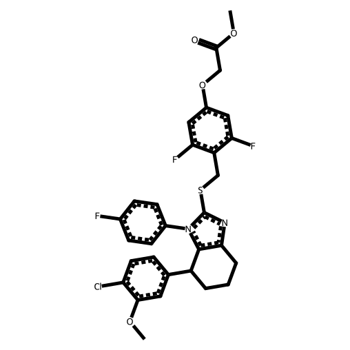 COC(=O)COc1cc(F)c(CSc2nc3c(n2-c2ccc(F)cc2)C(c2ccc(Cl)c(OC)c2)CCC3)c(F)c1